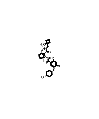 CC1(CNC(=O)[C@H]2[C@@H]3CC[C@@H](C3)[C@H]2NC(=O)c2cc(O[C@H]3CC[C@H](C)CC3)c(F)cc2F)CCC1